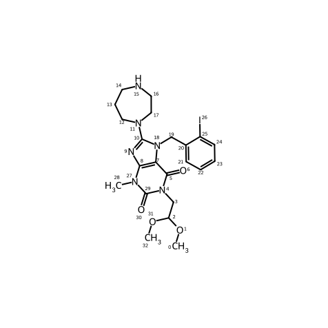 COC(Cn1c(=O)c2c(nc(N3CCCNCC3)n2Cc2ccccc2I)n(C)c1=O)OC